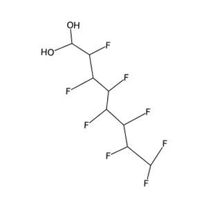 OC(O)C(F)C(F)C(F)C(F)C(F)C(F)C(F)F